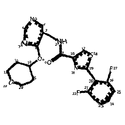 O=C(Nc1cncnc1OC1CCOCC1)c1csc(-c2c(F)cccc2F)n1